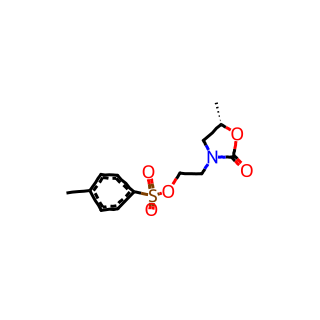 Cc1ccc(S(=O)(=O)OCCN2C[C@H](C)OC2=O)cc1